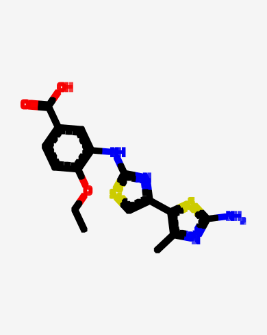 CCOc1ccc(C(=O)O)cc1Nc1nc(-c2sc(N)nc2C)cs1